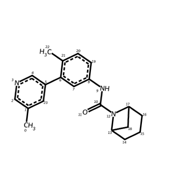 Cc1cncc(-c2cc(NC(=O)N3C4CCCC3C4)ccc2C)c1